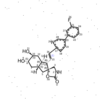 O=C1NC[C@]2(C[C@@H]3C[C@H](O)[C@@H](O)C[C@H]3[C@@H]2/C=C/c2ccc(-c3cccc(F)c3)cn2)O1